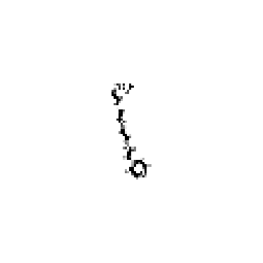 O=C(O)CCOCCOCCOCCN1CCOCC1